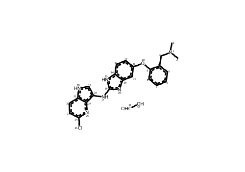 CN(C)Cc1ccccc1Oc1ccc2[nH]c(Nc3c[nH]c4ccc(Cl)nc34)nc2c1.O=CO